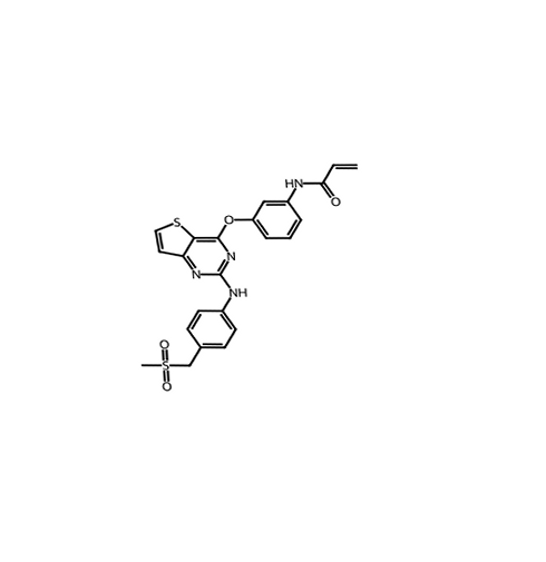 C=CC(=O)Nc1cccc(Oc2nc(Nc3ccc(CS(C)(=O)=O)cc3)nc3ccsc23)c1